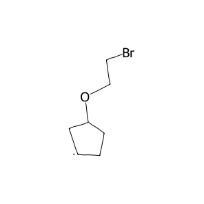 BrCCOC1C[CH]CC1